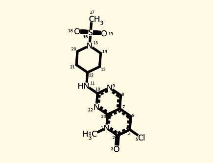 Cn1c(=O)c(Cl)cc2cnc(NC3CCN(S(C)(=O)=O)CC3)nc21